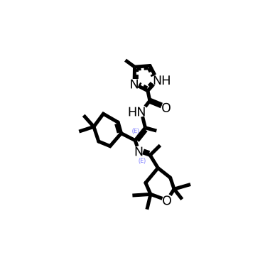 C/C(=N\C(C1=CCC(C)(C)CC1)=C(/C)NC(=O)c1nc(C)c[nH]1)C1CC(C)(C)OC(C)(C)C1